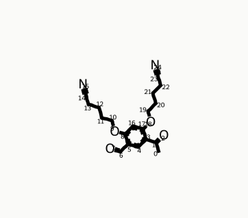 CC(=O)c1cc(C=O)c(OCCCCC#N)cc1OCCCCC#N